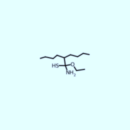 CCCCC(CCCC)C(N)(S)OCC